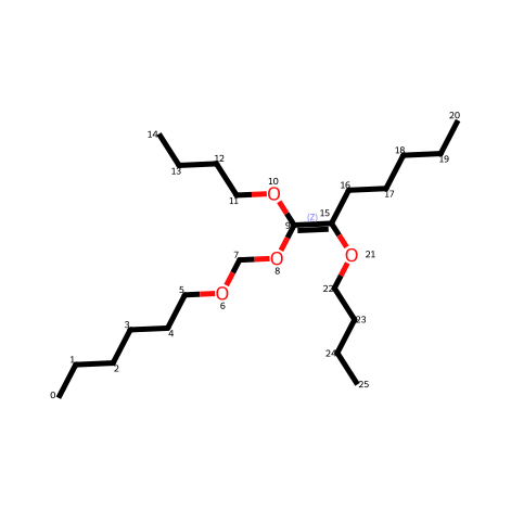 CCCCCCOCO/C(OCCCC)=C(/CCCCC)OCCCC